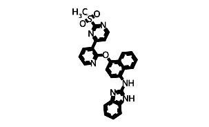 CS(=O)(=O)c1nccc(-c2cccnc2Oc2ccc(Nc3nc4ccccc4[nH]3)c3ccccc23)n1